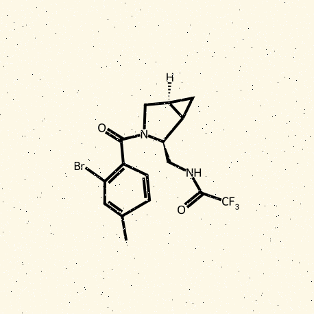 Cc1ccc(C(=O)N2C[C@H]3CC3[C@H]2CNC(=O)C(F)(F)F)c(Br)c1